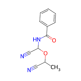 CC(C#N)OC(C#N)NC(=O)c1ccccc1